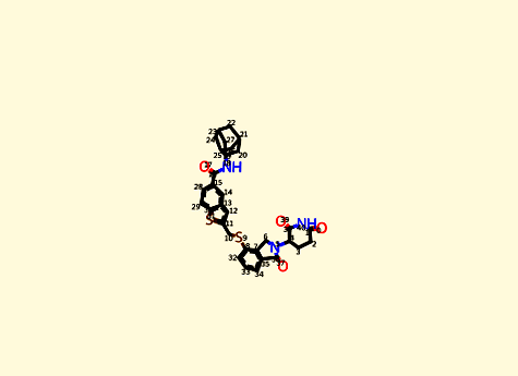 O=C1CCC(N2Cc3c(SCc4cc5cc(C(=O)NC67CC8CC(CC6C8)C7)ccc5s4)cccc3C2=O)C(=O)N1